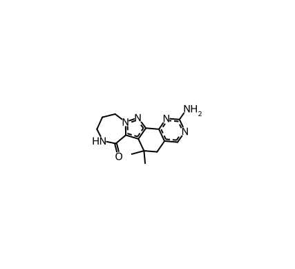 CC1(C)Cc2cnc(N)nc2-c2nn3c(c21)C(=O)NCCC3